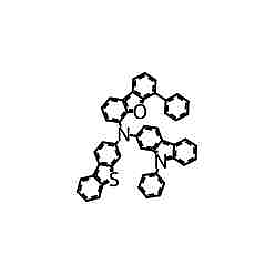 c1ccc(-c2cccc3c2oc2c(N(c4ccc5c(c4)sc4ccccc45)c4ccc5c6ccccc6n(-c6ccccc6)c5c4)cccc23)cc1